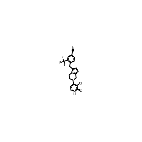 N#Cc1ccc(Cc2cnc3n2CCN(c2cn[nH]c(=O)c2Cl)C3)c(C(F)(F)F)c1